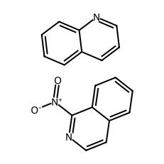 O=[N+]([O-])c1nccc2ccccc12.c1ccc2ncccc2c1